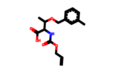 C=CCOC(=O)NC(C(=O)O)C(C)OCc1cccc(C)c1